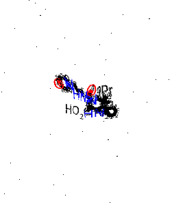 CC(C)C1N(C(=O)NCCCN2CCOCC2)C=C(C(=O)O)c2[nH]c3ccccc3c2C1(C)C